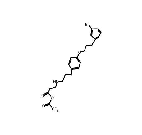 O=C(CCNCCCc1ccc(OCCCc2cccc(Br)c2)cc1)OC(=O)C(F)(F)F